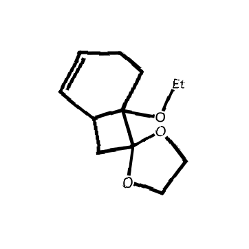 CCOC12CCC=CC1CC21OCCO1